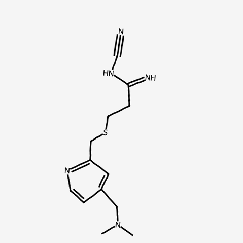 CN(C)Cc1ccnc(CSCCC(=N)NC#N)c1